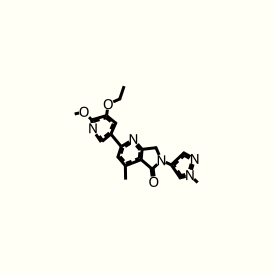 CCOc1cc(-c2cc(C)c3c(n2)CN(c2cnn(C)c2)C3=O)cnc1OC